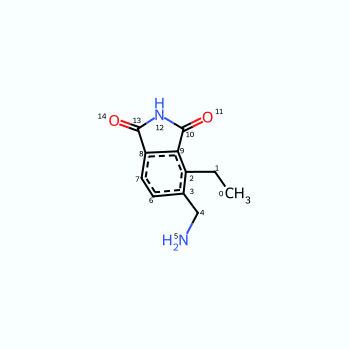 CCc1c(CN)ccc2c1C(=O)NC2=O